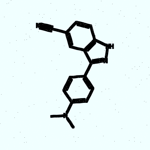 CN(C)c1ccc(-c2n[nH]c3ccc(C#N)cc23)cc1